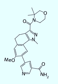 COc1cc2c(cc1-c1cncc(C(N)=O)c1)-c1c(c(C(=O)N3CCOCC3(C)C)nn1C)CC2